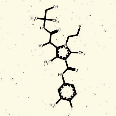 Cc1cc(NC(=O)c2c(C)c(C(O)C(=O)NC(C)(C)CO)n(CCF)c2C)ccc1F